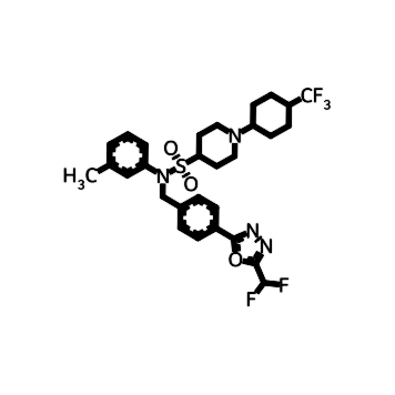 Cc1cccc(N(Cc2ccc(-c3nnc(C(F)F)o3)cc2)S(=O)(=O)C2CCN(C3CCC(C(F)(F)F)CC3)CC2)c1